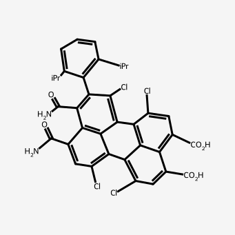 CC(C)c1cccc(C(C)C)c1-c1c(C(N)=O)c2c(C(N)=O)cc(Cl)c3c4c(Cl)cc(C(=O)O)c5c(C(=O)O)cc(Cl)c(c(c1Cl)c23)c54